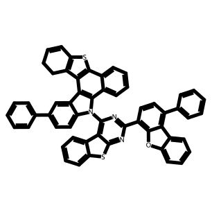 C1=Cc2sc3c4ccccc4c4c(c5cc(-c6ccccc6)ccc5n4-c4nc(-c5ccc(-c6ccccc6)c6c5oc5ccccc56)nc5sc6ccccc6c45)c3c2CC1